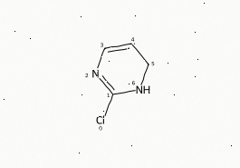 ClC1=NC=[C]CN1